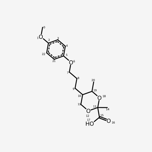 COc1ccc(OCCCC2COC(C)(C(=O)O)OC2C)cc1